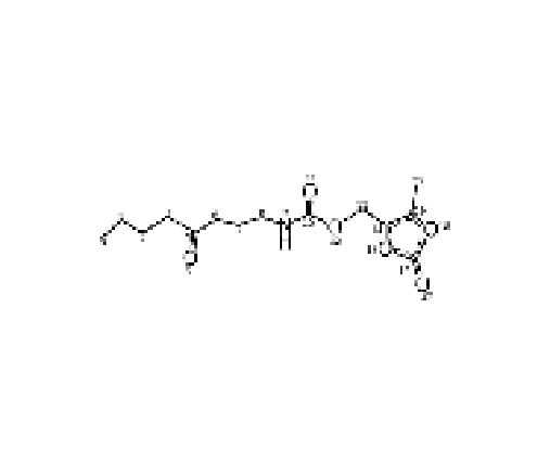 CCCCC(=O)CCCNC(=O)OCc1oc(=O)oc1C